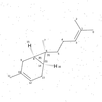 CC(C)=CCC[C@]1(C)[C@@H]2CC(C)=CC[C@@H]21